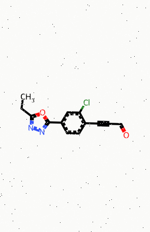 CCc1nnc(-c2ccc(C#CC=O)c(Cl)c2)o1